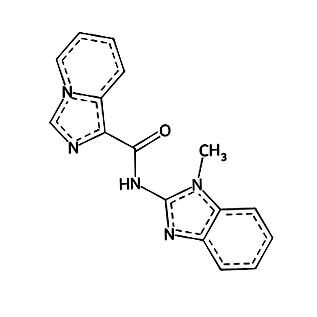 Cn1c(NC(=O)c2ncn3ccccc23)nc2ccccc21